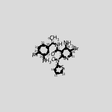 C[C@H](NC(=O)c1c(N(C)c2cccs2)ncc(Br)c1N)c1ccc(F)c(F)c1